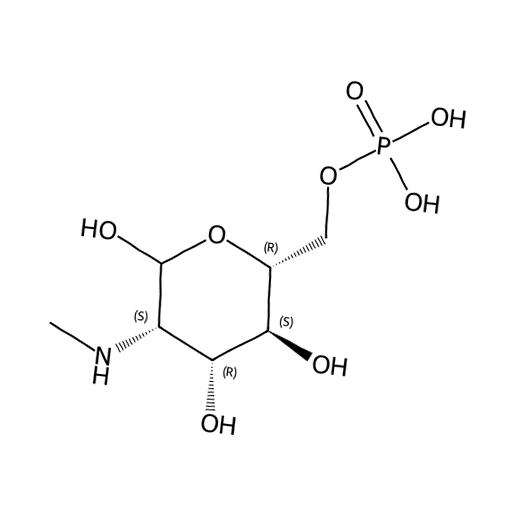 CN[C@@H]1C(O)O[C@H](COP(=O)(O)O)[C@@H](O)[C@@H]1O